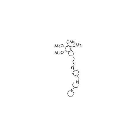 COc1c2c(c(OC)c(OC)c1OC)CC(CCCOc1ccc(CN3CCC(N4CCCCC4)CC3)cc1)C2